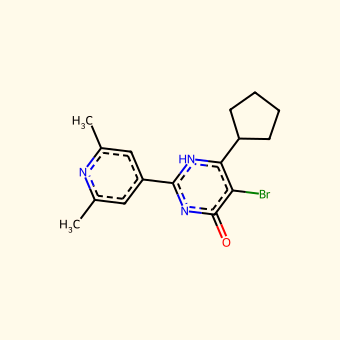 Cc1cc(-c2nc(=O)c(Br)c(C3CCCC3)[nH]2)cc(C)n1